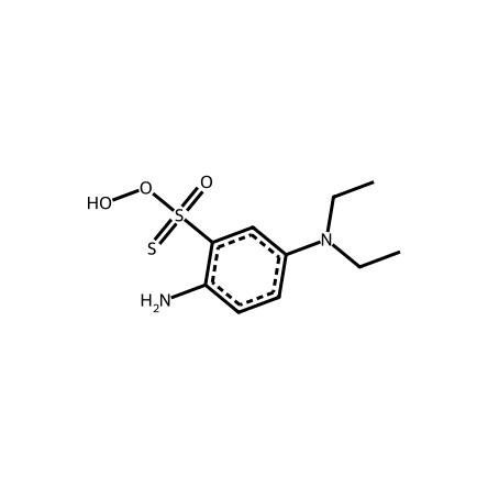 CCN(CC)c1ccc(N)c(S(=O)(=S)OO)c1